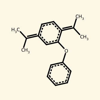 CC(C)=c1ccc(=C(C)C)c(Oc2ccccc2)c1